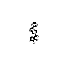 O=C(c1ccc(F)c(Cl)c1Cl)N1CCn2c(nnc2-c2cnccn2)C1